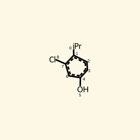 CC(C)c1ccc(O)cc1Cl